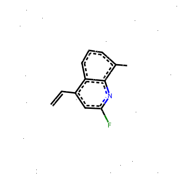 C=Cc1cc(F)nc2c(C)cccc12